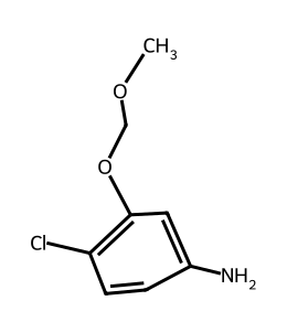 COCOc1cc(N)ccc1Cl